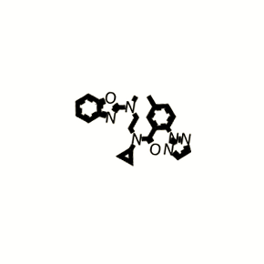 Cc1ccc(-n2nccn2)c(C(=O)N(CCN(C)c2nc3ccccc3o2)C2CC2)c1